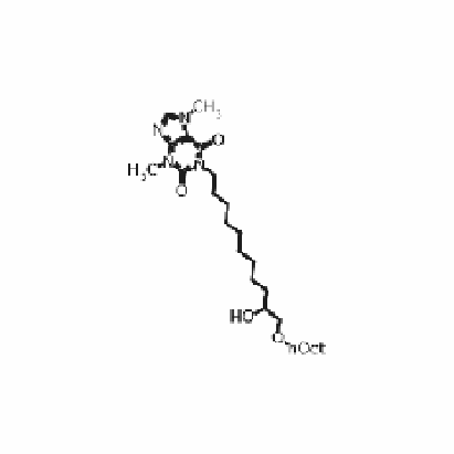 CCCCCCCCOCC(O)CCCCCCCCCn1c(=O)c2c(ncn2C)n(C)c1=O